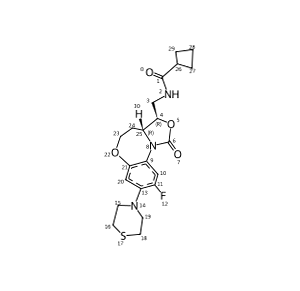 O=C(NC[C@H]1OC(=O)N2c3cc(F)c(N4CCSCC4)cc3OCC[C@H]12)C1CCC1